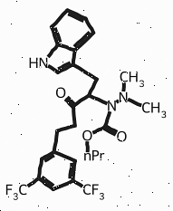 CCCOC(=O)N(C(Cc1c[nH]c2ccccc12)C(=O)CCc1cc(C(F)(F)F)cc(C(F)(F)F)c1)N(C)C